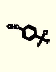 O=[C]c1ccc(C(F)(F)Cl)cc1